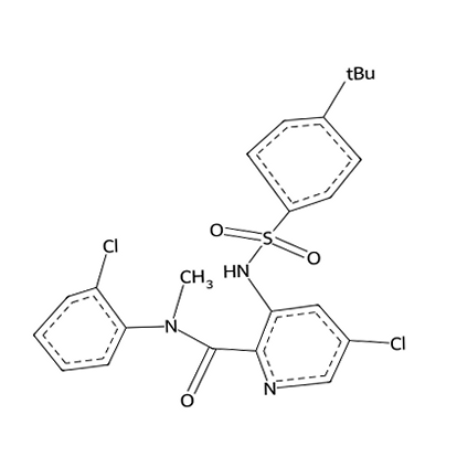 CN(C(=O)c1ncc(Cl)cc1NS(=O)(=O)c1ccc(C(C)(C)C)cc1)c1ccccc1Cl